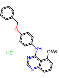 COc1cccc2ncnc(Nc3ccc(OCc4ccccc4)cc3)c12.Cl